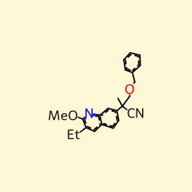 CCc1cc2ccc(C(C)(C#N)COCc3ccccc3)cc2nc1OC